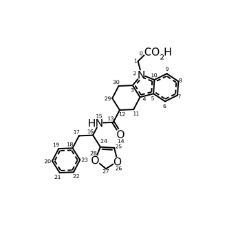 O=C(O)Cn1c2c(c3ccccc31)CC(C(=O)NC(Cc1ccccc1)C1=COCO1)CC2